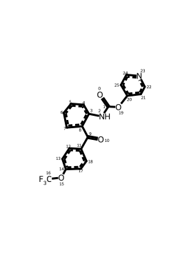 O=C(Nc1ccccc1C(=O)c1ccc(OC(F)(F)F)cc1)Oc1ccncc1